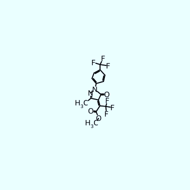 COC(=O)C(=C1C(=O)N(c2ccc(C(F)(F)F)cc2)N=C1C)C(F)(F)F